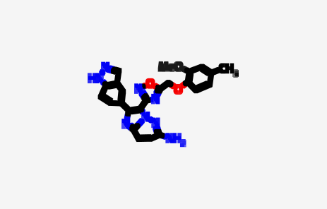 COc1cc(C)ccc1OCc1nc(-c2c(-c3ccc4[nH]ncc4c3)nc3ccc(N)nn23)no1